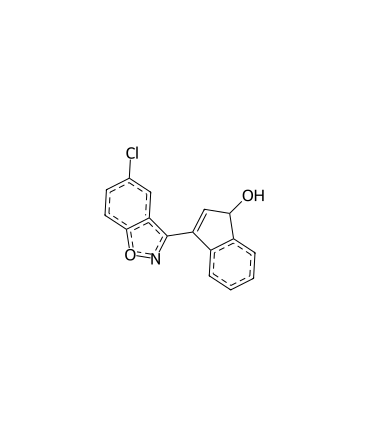 OC1C=C(c2noc3ccc(Cl)cc23)c2ccccc21